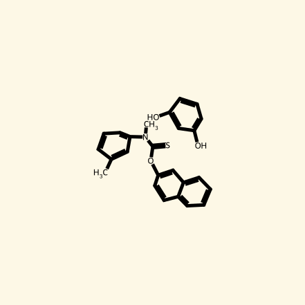 Cc1cccc(N(C)C(=S)Oc2ccc3ccccc3c2)c1.Oc1cccc(O)c1